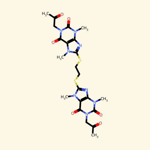 CC(=O)Cn1c(=O)c2c(nc(SCCSc3nc4c(c(=O)n(CC(C)=O)c(=O)n4C)n3C)n2C)n(C)c1=O